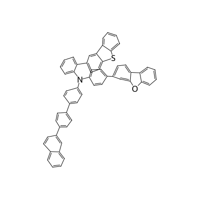 c1ccc(N(c2ccc(-c3ccc(-c4ccc5ccccc5c4)cc3)cc2)c2ccc(-c3ccc4c(c3)oc3ccccc34)cc2)c(-c2ccc3sc4ccccc4c3c2)c1